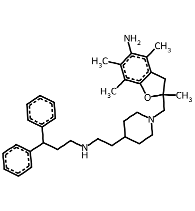 Cc1c(C)c2c(c(C)c1N)CC(C)(CN1CCC(CCNCCC(c3ccccc3)c3ccccc3)CC1)O2